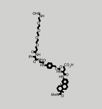 CNC(=O)C1(C)CCC[C@]2(C)c3cc(NC(=O)C(CCC(=O)O)NC(=O)OCc4ccc(NC(=O)CNC(=O)C(NC(=O)CCOCCOCCOCCOCCNC=O)C(C)C)cc4)ccc3CCC12